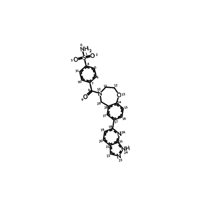 NS(=O)(=O)c1ccc(C(=O)N2CCOc3ccc(-c4ccc5cn[nH]c5n4)cc3C2)cc1